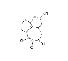 N#CC1CC2CCCC3=C2C(C1)CN(Cl)C(Cl)=C3Cl